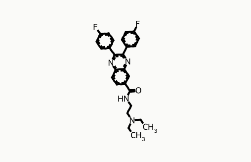 CCN(CC)CCNC(=O)c1ccc2nc(-c3ccc(F)cc3)c(-c3ccc(F)cc3)nc2c1